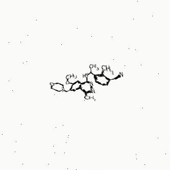 COc1cc2c(NC(C)c3cccc(C#N)c3C)nnc(C)c2cc1CN1CCOCC1